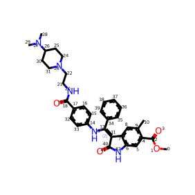 COC(=O)c1cc2c(cc1C)/C(=C(/Nc1ccc(C(=O)NCCN3CCC(N(C)C)CC3)cc1)c1ccccc1)C(=O)N2